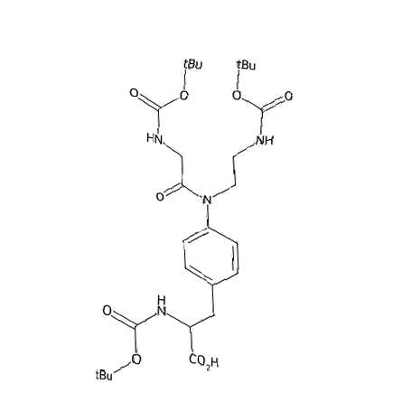 CC(C)(C)OC(=O)NCCN(C(=O)CNC(=O)OC(C)(C)C)c1ccc(CC(NC(=O)OC(C)(C)C)C(=O)O)cc1